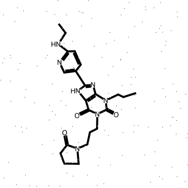 CCCn1c(=O)n(CCCN2CCCC2=O)c(=O)c2[nH]c(-c3ccc(NCC)nc3)nc21